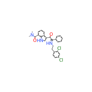 CN(C)C(=O)c1cccc2c(C(=O)[C@H](NCCc3ccc(Cl)cc3Cl)c3ccccc3)c[nH]c12